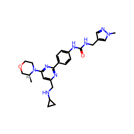 C[C@H]1COCCN1c1cc(CNC2CC2)nc(-c2ccc(NC(=O)NCc3cnn(C)c3)cc2)n1